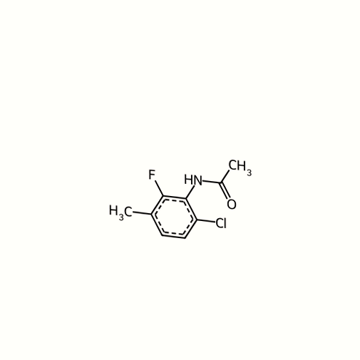 CC(=O)Nc1c(Cl)ccc(C)c1F